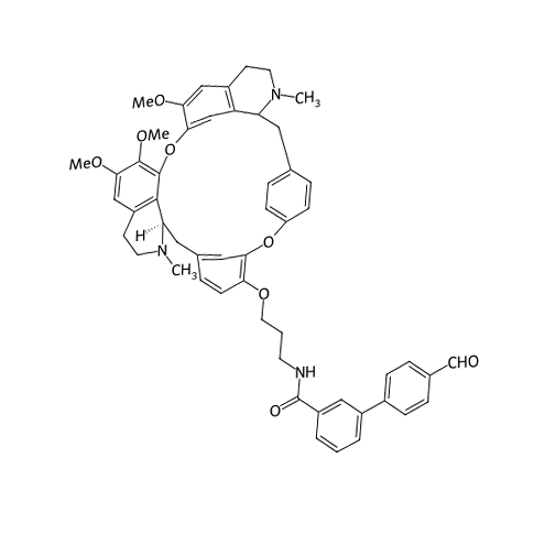 COc1cc2c3cc1Oc1c(OC)c(OC)cc4c1[C@@H](Cc1ccc(OCCCNC(=O)c5cccc(-c6ccc(C=O)cc6)c5)c(c1)Oc1ccc(cc1)CC3N(C)CC2)N(C)CC4